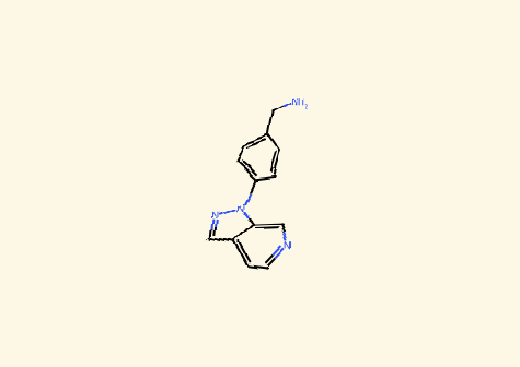 NCc1ccc(-n2n[c]c3ccncc32)cc1